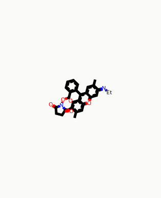 CC/N=c1\cc2oc3cc(C)c(C)cc3c(-c3ccccc3C(=O)ON3C(=O)CCC3=O)c-2cc1C